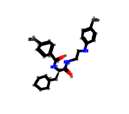 COc1ccc(NCCNC(=O)[C@H](CC2CCCCC2)NC(=O)c2ccc(OC)cc2)cc1